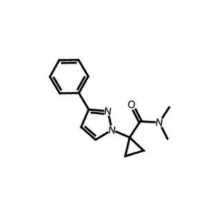 CN(C)C(=O)C1(n2ccc(-c3ccccc3)n2)CC1